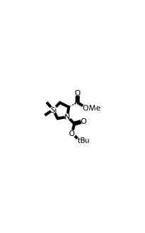 COC(=O)[C@H]1C[Si](C)(C)CN1C(=O)OC(C)(C)C